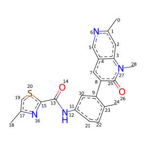 Cc1cc2c(cn1)cc(-c1cc(NC(=O)c3nc(C)cs3)ccc1C)c(=O)n2C